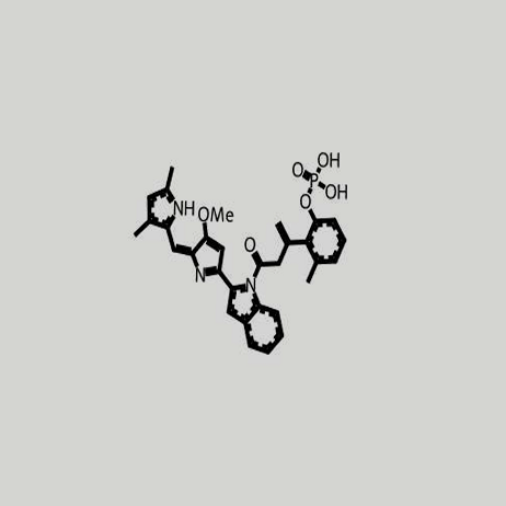 C=C(CC(=O)n1c(C2=N/C(=C/c3[nH]c(C)cc3C)C(OC)=C2)cc2ccccc21)c1c(C)cccc1OP(=O)(O)O